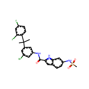 CC(C)(c1cc(Br)cc(NC(=O)c2cc3ccc(NS(C)(=O)=O)cc3[nH]2)c1)c1ccc(F)cc1F